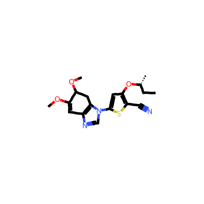 CC[C@@H](C)Oc1cc(-n2cnc3c2CC(OC)C(OC)=C3)sc1C#N